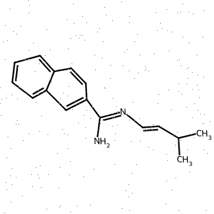 CC(C)/C=C/N=C(N)c1ccc2ccccc2c1